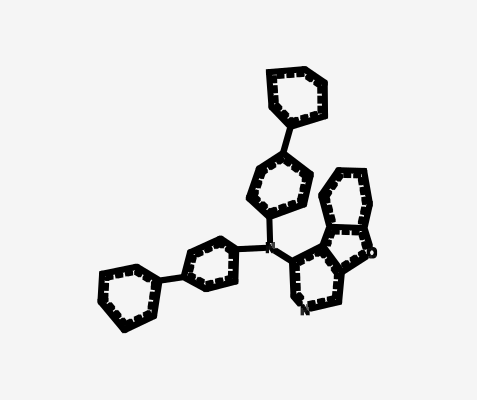 c1ccc(-c2ccc(N(c3ccc(-c4ccccc4)cc3)c3cncc4oc5ccccc5c34)cc2)cc1